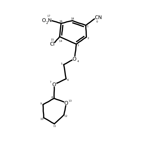 N#Cc1cc(OCCOC2CCCCO2)c(Cl)c([N+](=O)[O-])c1